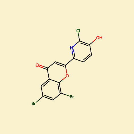 O=c1cc(-c2ccc(O)c(Cl)n2)oc2c(Br)cc(Br)cc12